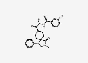 CCc1cccc(C(=O)N[C@@H](C(=O)N2CCC3(CC2)C(=O)N(C)CN3c2ccccc2)C(C)C)c1